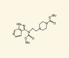 CC(C)(C)OC(=O)N1CCN(CCN(C(=O)OC(C)(C)C)c2n[nH]c3cnccc23)CC1